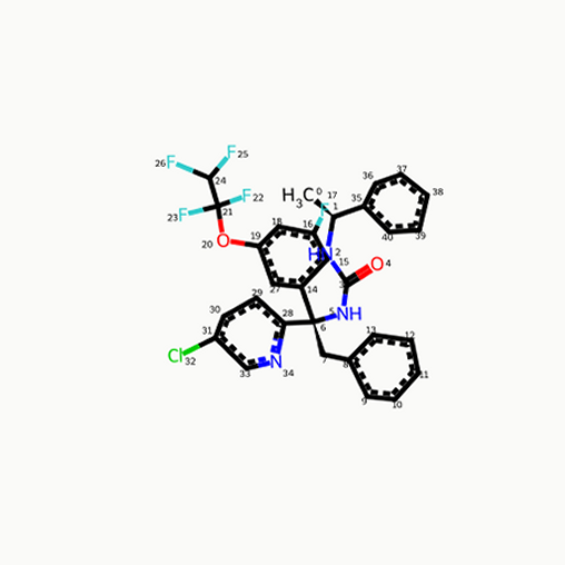 C[C@H](NC(=O)N[C@@](Cc1ccccc1)(c1cc(F)cc(OC(F)(F)C(F)F)c1)c1ccc(Cl)cn1)c1ccccc1